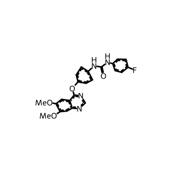 COc1cc2ncnc(Oc3ccc(NC(=O)Nc4ccc(F)cc4)cc3)c2cc1OC